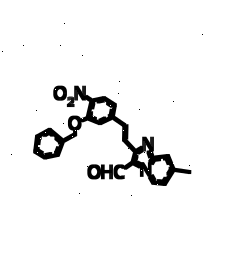 Cc1ccn2c(C=O)c(C=Cc3ccc([N+](=O)[O-])c(OCc4ccccc4)c3)nc2c1